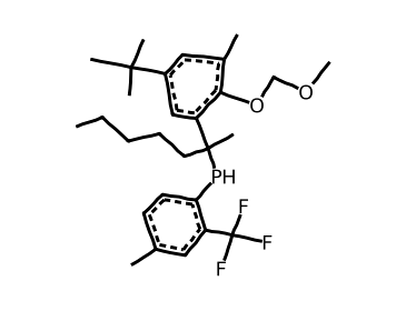 CCCCCC(C)(Pc1ccc(C)cc1C(F)(F)F)c1cc(C(C)(C)C)cc(C)c1OCOC